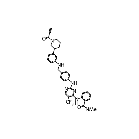 C#CC(=O)N1CCCC(c2cccc(NCc3ccc(Nc4ncc(C(F)(F)F)c(Nc5ccccc5C(=O)NC)n4)cc3)c2)C1